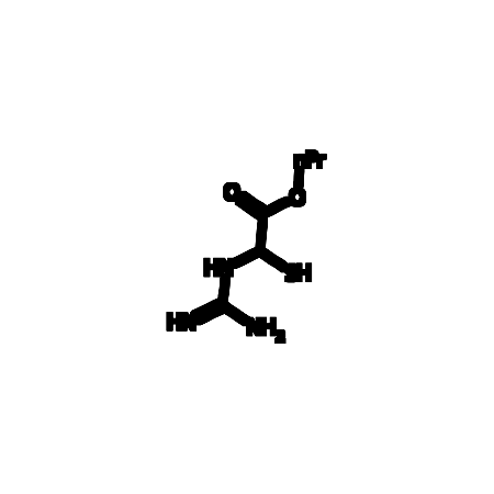 CCCOC(=O)C(S)NC(=N)N